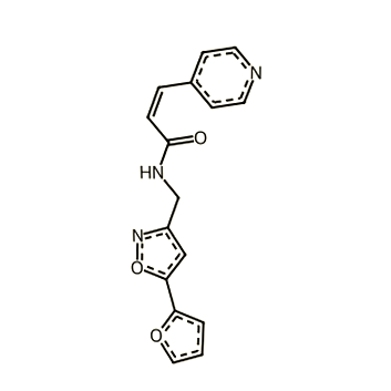 O=C(/C=C\c1ccncc1)NCc1cc(-c2ccco2)on1